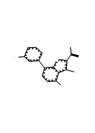 N#Cc1cccc(-c2ccc(C(F)(F)F)c3c(N)c(C(N)=O)sc23)c1